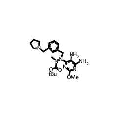 COc1nc(N)c(N)c(N(Cc2cccc(CN3CCCC3)c2)N(C)C(=O)OC(C)(C)C)n1